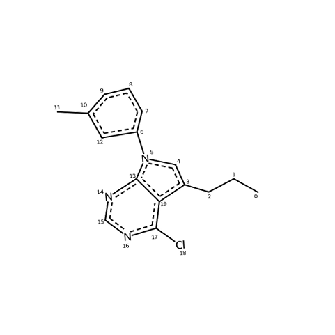 CCCc1cn(-c2cccc(C)c2)c2ncnc(Cl)c12